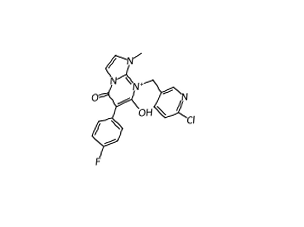 Cn1ccn2c(=O)c(-c3ccc(F)cc3)c(O)[n+](Cc3ccc(Cl)nc3)c12